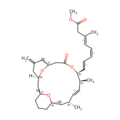 C=C1C[C@@H]2C[C@@H]3CCC[C@H](C[C@@H](C)/C=C/[C@H](C)[C@H](/C=C/C=C\C=C(/C)CC(=O)OC)OC(=O)C[C@H](C1)O2)O3